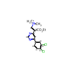 CCOC(=O)/C(=C\N(C)C)c1cc(-c2ccc(Cl)c(Cl)c2)ncn1